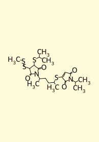 CSSC1C(=O)N(C(C)CCC(C)SC2=CC(=O)N(C(C)C)C2=O)C(=O)C1SC(C)C